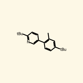 Cc1cc(C(C)(C)C)ccc1-c1ccc(C(C)(C)C)nc1